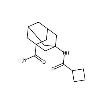 NC(=O)C12CC3CC(CC(NC(=O)C4CCC4)(C3)C1)C2